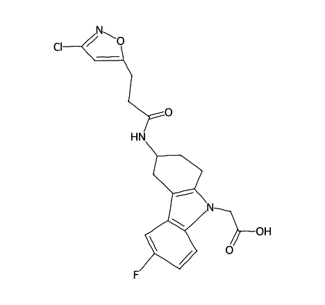 O=C(O)Cn1c2c(c3cc(F)ccc31)CC(NC(=O)CCc1cc(Cl)no1)CC2